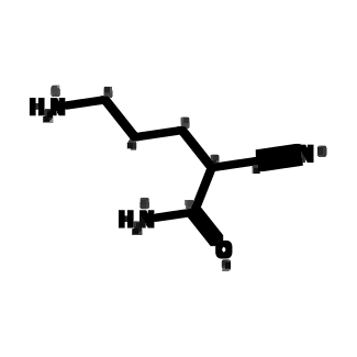 N#CC(CCCN)C(N)=O